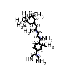 Cc1cc(/C(C=N)=C/N)ccc1/C(N)=C/C=C(\N)CC1CC(C)(C)NC(C)(C)C1